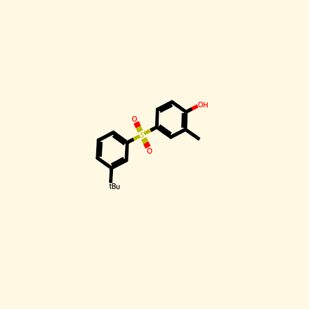 Cc1cc(S(=O)(=O)c2cccc(C(C)(C)C)c2)ccc1O